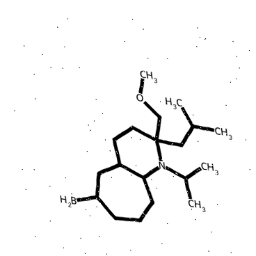 BC1CCCC2C(CCC(COC)(CC(C)C)N2C(C)C)C1